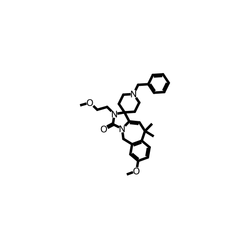 COCCN1C(=O)N2Cc3cc(OC)ccc3C(C)(C)C=C2C12CCN(Cc1ccccc1)CC2